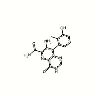 Cc1c(O)cccc1-c1c(N)c(C(N)=O)nc2c(=O)[nH]cnc12